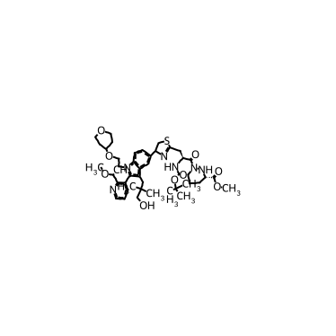 COC(=O)[C@@H]1CCCN(C(=O)[C@H](CC2=NC(c3ccc4c(c3)c(CC(C)(C)CO)c(-c3cccnc3[C@H](C)OC)n4CCOC3CCOCC3)CS2)NC(=O)OC(C)(C)C)N1